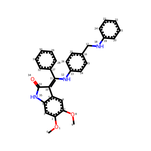 COc1cc2c(cc1OC)C(=C(Nc1ccc(CNc3ccccc3)cc1)c1ccccc1)C(=O)N2